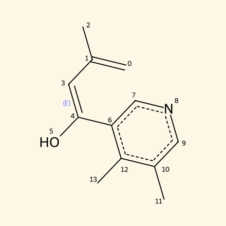 C=C(C)/C=C(/O)c1cncc(C)c1C